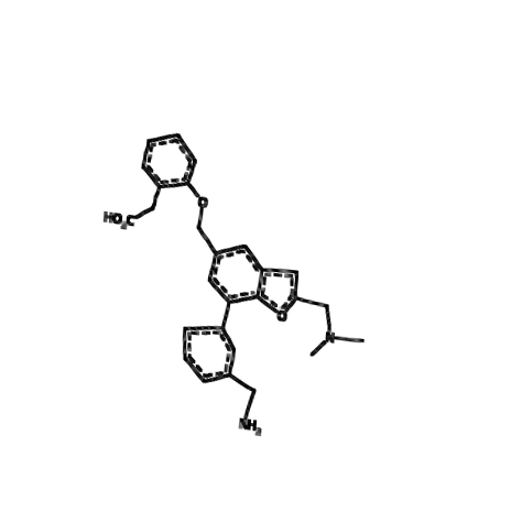 CN(C)Cc1cc2cc(COc3ccccc3CC(=O)O)cc(-c3cccc(CN)c3)c2o1